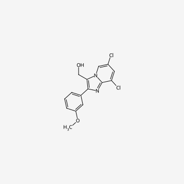 COc1cccc(-c2nc3c(Cl)cc(Cl)cn3c2CO)c1